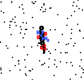 C=CCOC(=O)Oc1cc(C)c(C[C@@H](N)C(=O)N(CCCc2ccccc2)[C@H](C)C(N)=O)c(C)c1